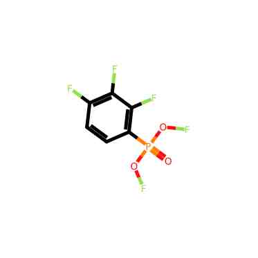 O=P(OF)(OF)c1ccc(F)c(F)c1F